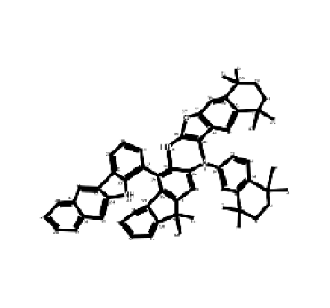 CC1(C)CCC(C)(C)c2cc(N3c4cc5c(c(-c6cccc7c6[nH]c6cc8ccccc8cc67)c4Bc4oc6cc7c(cc6c43)C(C)(C)CCC7(C)C)-c3ccccc3C5(C)C)ccc21